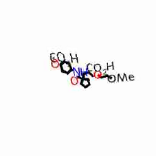 COCCOC[C@H](CC1(C(=O)N[C@H]2CC[C@@H](OC(=O)O)CC2)CCCC1)C(=O)O